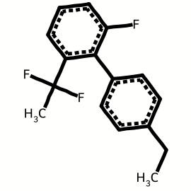 CCc1ccc(-c2c(F)cccc2C(C)(F)F)cc1